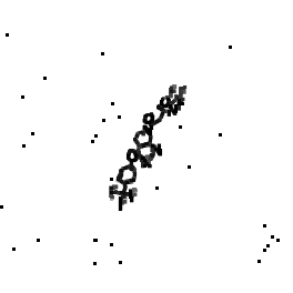 O=C(Cc1coc(C(F)(F)F)n1)N1CCc2c(ncnc2Oc2ccc(C(F)(F)F)cc2)C1